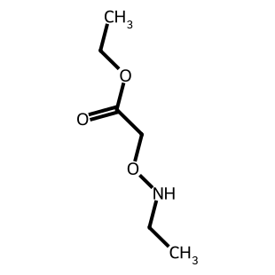 CCNOCC(=O)OCC